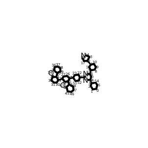 c1ccc(-c2cc(-c3cccc(-c4ccncc4)c3)nc(-c3ccc(-c4ccc(-c5cccc6oc7ccccc7c56)c5oc6ccccc6c45)cc3)n2)cc1